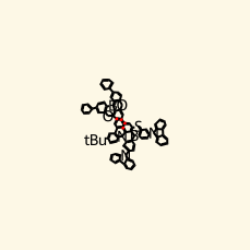 CC(C)(C)c1ccc(N2c3cc(-n4c5ccccc5c5ccccc54)ccc3B3c4ccc(-n5c6ccccc6c6ccccc65)cc4Sc4cc(-c5cc6c7c(c5)Oc5ccc(-c8ccccc8)cc5B7c5ccc(-c7ccccc7)cc5O6)cc2c43)c(-c2ccccc2)c1